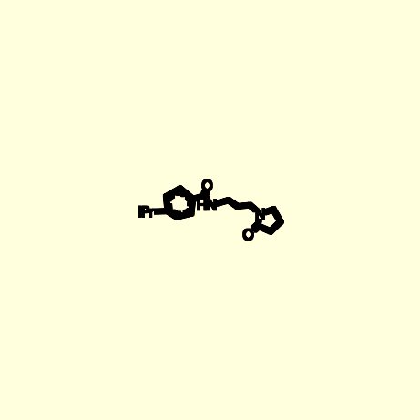 CC(C)c1ccc(C(=O)NCCCN2CCCC2=O)cc1